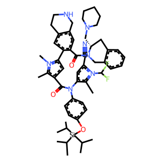 Cc1c(C(=O)N(c2ccc(O[Si](C(C)C)(C(C)C)C(C)C)cc2)c2cc(C#N)n(C(F)F)c2C)cc(-c2cc3c(cc2C(=O)N2Cc4ccccc4C[C@H]2CN2CCCCC2)CNCC3)n1C